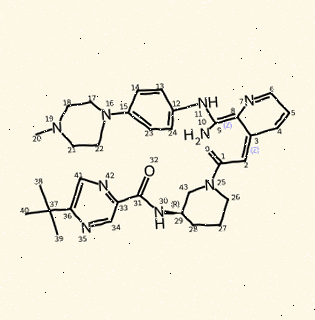 C=C(/C=c1/cccn/c1=C(/N)Nc1ccc(N2CCN(C)CC2)cc1)N1CCC[C@@H](NC(=O)c2cnc(C(C)(C)C)cn2)C1